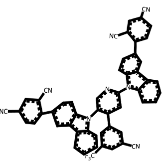 N#Cc1cc(-c2cc(-n3c4ccccc4c4cc(-c5ccc(C#N)cc5C#N)ccc43)ncc2-n2c3ccccc3c3cc(-c4ccc(C#N)cc4C#N)ccc32)cc(C(F)(F)F)c1